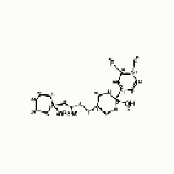 CCCCCC1(CCCCC2CCC(O)(c3ccc(F)c(F)c3)CC2)CCCCC1